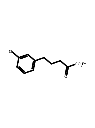 CCOC(=O)C(=O)CCCc1cccc(Cl)c1